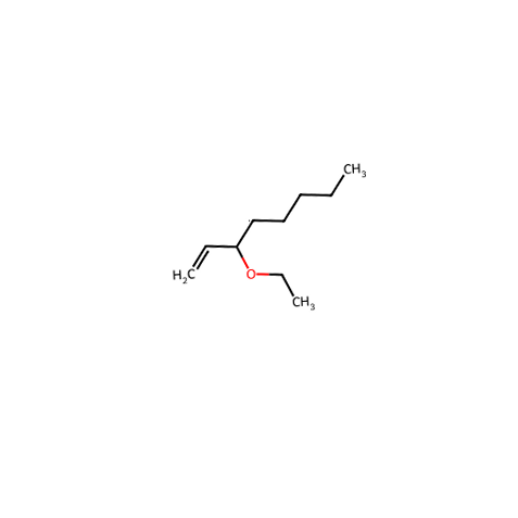 C=CC([CH]CCCC)OCC